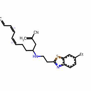 C=C/C=C\C=C/CCC(CC(=C)C#N)NCCc1nc2ccc(CC)cc2s1